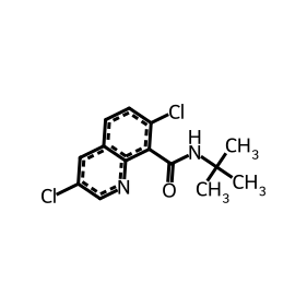 CC(C)(C)NC(=O)c1c(Cl)ccc2cc(Cl)cnc12